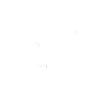 CC(C)c1ccc([N+](=O)[O-])c(N2CCCC2)c1